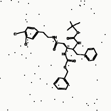 CC(C)(C)OC(=O)NC(Cc1ccccc1)[C@H](CC(=O)NCCc1ccc(Cl)c(Cl)c1)NC(=O)OCc1ccccc1